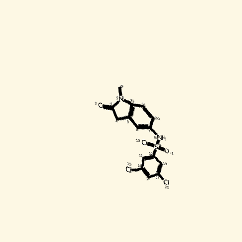 CN1C(=O)Cc2cc(NS(=O)(=O)c3cc(Cl)cc(Cl)c3)ccc21